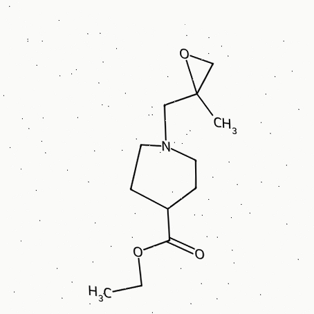 CCOC(=O)C1CCN(CC2(C)CO2)CC1